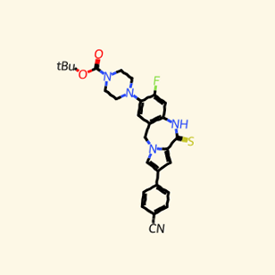 CC(C)(C)OC(=O)N1CCN(c2cc3c(cc2F)NC(=S)c2cc(-c4ccc(C#N)cc4)cn2C3)CC1